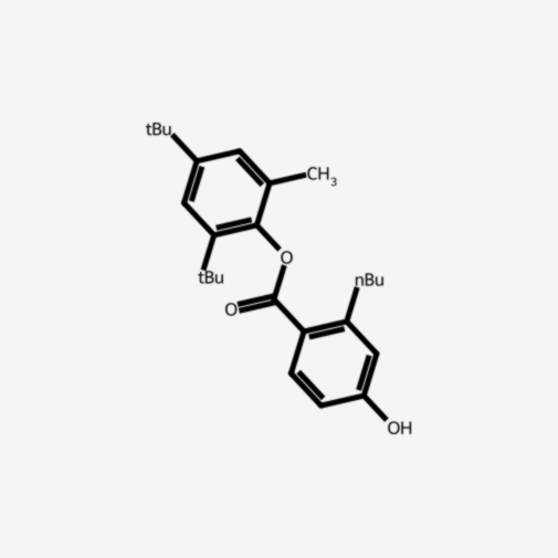 CCCCc1cc(O)ccc1C(=O)Oc1c(C)cc(C(C)(C)C)cc1C(C)(C)C